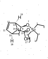 CC[Si](CC)(CC)O[C@H]1C[C@H]2C=C[C@@H]1N2C(=O)O